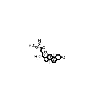 CON(C)C(=O)CC[C@@H](C)[C@H]1CC[C@H]2[C@@H]3CC=C4CC(=O)CC[C@]4(C)[C@H]3CC[C@]12C